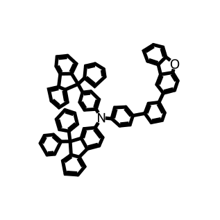 c1ccc(C2(c3ccc(N(c4ccc(-c5cccc(-c6ccc7oc8ccccc8c7c6)c5)cc4)c4ccc5c(c4)C(c4ccccc4)(c4ccccc4)c4ccccc4-5)cc3)c3ccccc3-c3ccccc32)cc1